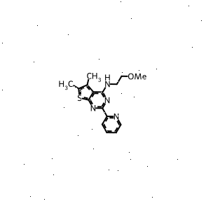 COCCNc1nc(-c2ccccn2)nc2sc(C)c(C)c12